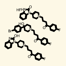 F.O=C(CCCN1CC=C(n2c(=O)[nH]c3ccccc32)CC1)c1ccc(F)cc1.O=C(CCCN1CCC(O)(c2ccc(Br)cc2)CC1)c1ccc(F)cc1.O=C(CCCN1CCC(n2c(O)nc3ccccc32)CC1)c1ccc(F)cc1